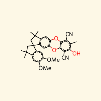 COc1cc2c(cc1OC)C1(CC2(C)C)CC(C)(C)c2cc3c(cc21)Oc1c(C#N)c(O)c(C)c(C#N)c1O3